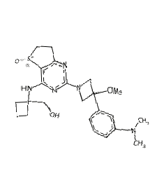 COC1(c2cccc(N(C)C)c2)CN(c2nc3c(c(NC4(CO)CCC4)n2)[S@+]([O-])CC3)C1